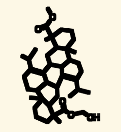 COC(=O)C1(C)CCCC2(C)C3CCC(C(C)C)=C4C5CC6C(C)(C(=O)OCO)CCCC6(C)C6CCC(C(C)C)=C(C(CC12)C43)C56